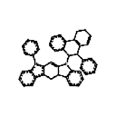 C1=CC2=C(CC1)c1ccccc1C(N1C3=Cc4c(c5ccccc5n4-c4ccccc4)CC3c3ccccc31)C2c1ccccc1